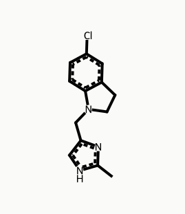 Cc1nc(CN2CCc3cc(Cl)ccc32)c[nH]1